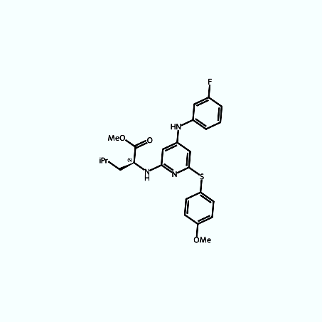 COC(=O)[C@H](CC(C)C)Nc1cc(Nc2cccc(F)c2)cc(Sc2ccc(OC)cc2)n1